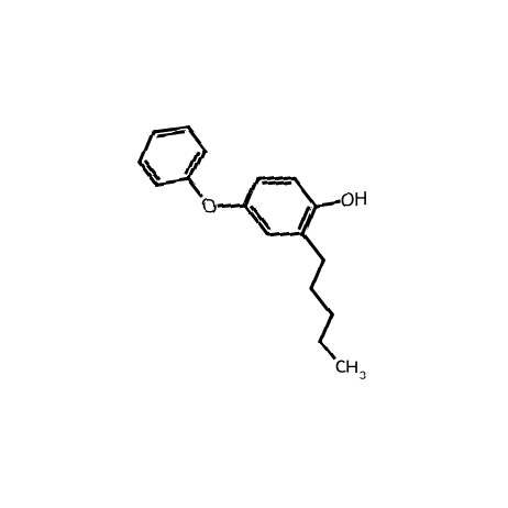 CCCCCc1cc(Oc2ccccc2)ccc1O